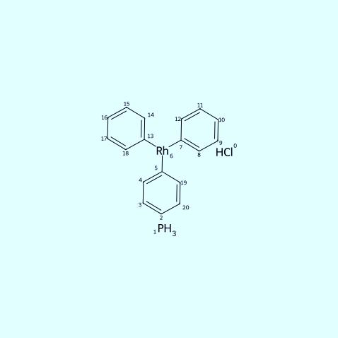 Cl.P.c1cc[c]([Rh]([c]2ccccc2)[c]2ccccc2)cc1